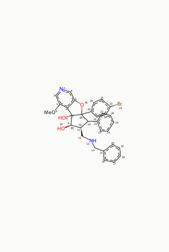 COc1cncc2c1C1(O)[C@H](O)[C@H](CNCc3ccccc3)C(c3ccccc3)C1(c1ccc(Br)cc1)O2